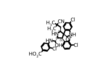 CC(C)(C#N)C[C@@H]1N[C@@H](C(O)Nc2ccc(C(=O)O)cc2Cl)[C@H](c2cccc(Cl)c2F)[C@]12C(=O)Nc1cc(Cl)ccc12